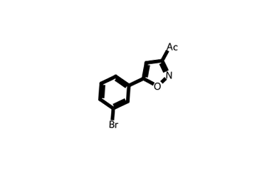 CC(=O)c1cc(-c2cccc(Br)c2)on1